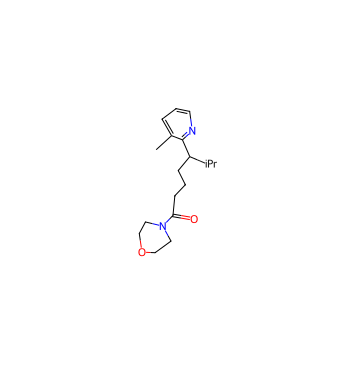 Cc1cccnc1C(CCCC(=O)N1CCOCC1)C(C)C